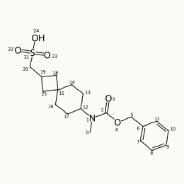 CN(C(=O)OCc1ccccc1)C1CCC2(CC1)CC(CS(=O)(=O)O)C2